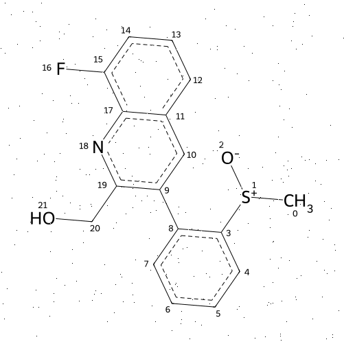 C[S+]([O-])c1ccccc1-c1cc2cccc(F)c2nc1CO